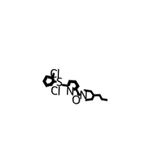 CCCC1CCN(C(=O)c2cccc(CSc3c(Cl)cccc3Cl)n2)CC1